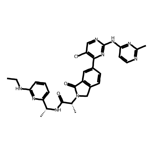 CCNc1cccc([C@@H](C)NC(=O)[C@@H](C)N2Cc3ccc(-c4nc(Nc5ccnc(C)n5)ncc4Cl)cc3C2=O)n1